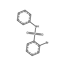 O=S(=O)(Nc1ccccc1)c1ccccc1Br